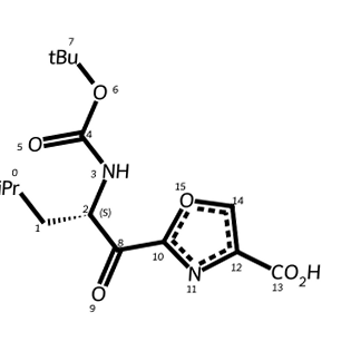 CC(C)C[C@H](NC(=O)OC(C)(C)C)C(=O)c1nc(C(=O)O)co1